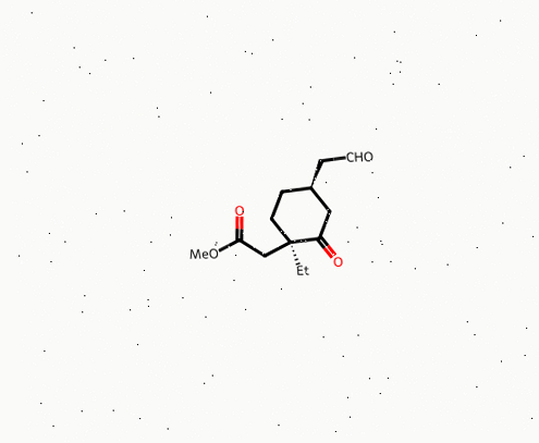 CC[C@]1(CC(=O)OC)CC[C@@H](CC=O)CC1=O